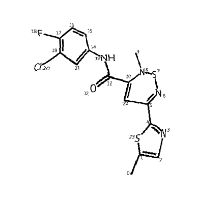 Cc1cnc(C2=NSN(C)C(C(=O)Nc3ccc(F)c(Cl)c3)=C2)s1